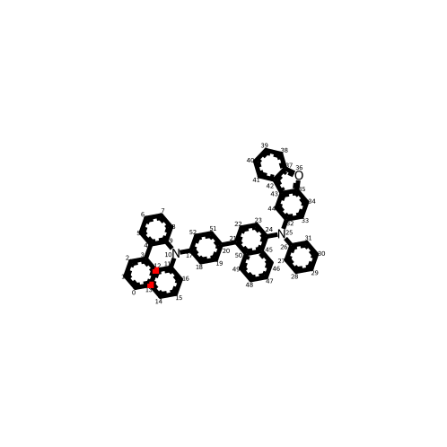 c1ccc(-c2ccccc2N(c2ccccc2)c2ccc(-c3ccc(N(c4ccccc4)c4ccc5oc6ccccc6c5c4)c4ccccc34)cc2)cc1